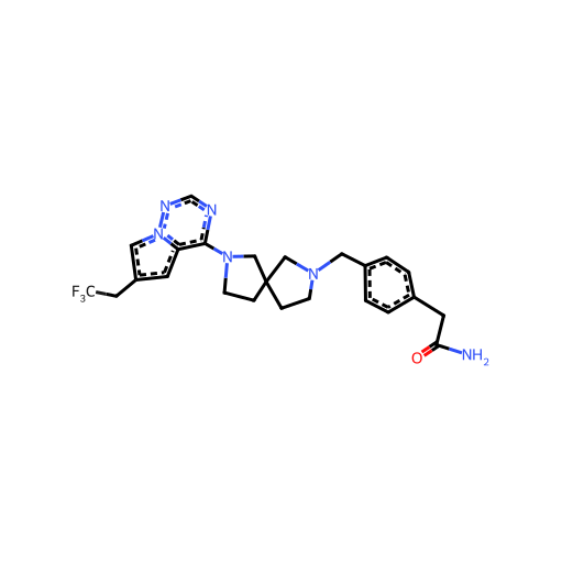 NC(=O)Cc1ccc(CN2CCC3(CCN(c4ncnn5cc(CC(F)(F)F)cc45)C3)C2)cc1